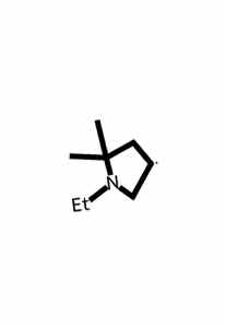 CCN1C[CH]CC1(C)C